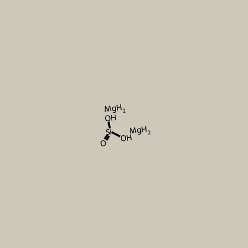 O=[Si](O)O.[MgH2].[MgH2]